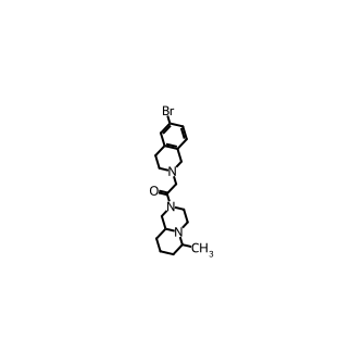 CC1CCCC2CN(C(=O)CN3CCc4cc(Br)ccc4C3)CCN12